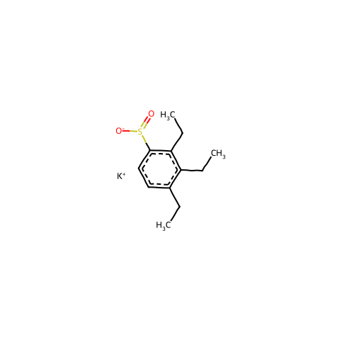 CCc1ccc(S(=O)[O-])c(CC)c1CC.[K+]